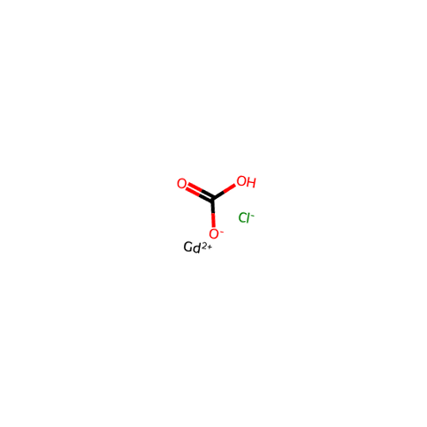 O=C([O-])O.[Cl-].[Gd+2]